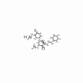 CN(C)Cc1cc(-c2ccc(F)c(CN)c2)nn(C/C=C/c2ccccc2)c1=O